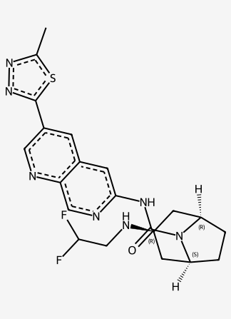 Cc1nnc(-c2cnc3cnc(NC(=O)N4[C@@H]5CC[C@H]4C[C@@H](NCC(F)F)C5)cc3c2)s1